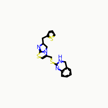 C1=C(CSC2=Nc3ccccc3CN2)N2CC(Cc3cccs3)N=C2S1